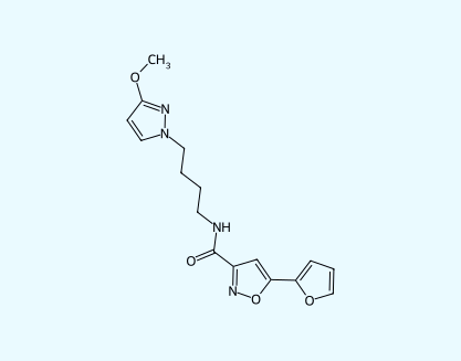 COc1ccn(CCCCNC(=O)c2cc(-c3ccco3)on2)n1